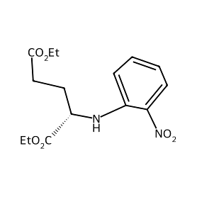 CCOC(=O)CC[C@H](Nc1ccccc1[N+](=O)[O-])C(=O)OCC